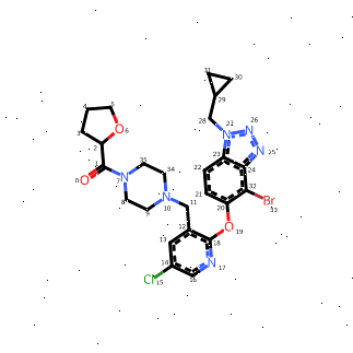 O=C(C1CCCO1)N1CCN(Cc2cc(Cl)cnc2Oc2ccc3c(nnn3CC3CC3)c2Br)CC1